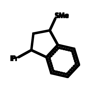 CSC1CC(C(C)C)c2ccccc21